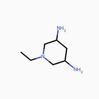 CCN1CC(N)CC(N)C1